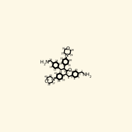 NCc1ccc(CC(C(=O)C(Cc2ccc(CN)cc2)c2ccc(N3CCOCC3)cc2)c2ccc(N3CCOCC3)cc2)cc1